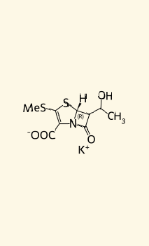 CSC1=C(C(=O)[O-])N2C(=O)C(C(C)O)[C@H]2S1.[K+]